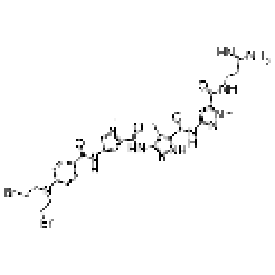 Cc1c(NC(=O)c2cc(NC(=O)c3ccc(N(CCBr)CCBr)cc3)cn2C)n[nH]c1C(=O)Nc1cc(C(=O)NCCC(=N)N)n(C)n1